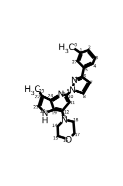 Cc1cccc(-c2ccn(-c3cc(N4CCOCC4)c4[nH]cc(C)c4n3)n2)c1